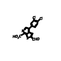 O=Cc1cc2c(-c3ccc(Cl)c(Cl)c3)cnc(C(=O)O)c2s1